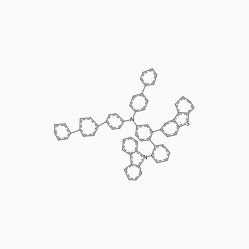 c1ccc(-c2ccc(-c3ccc(N(c4ccc(-c5ccccc5)cc4)c4ccc(-c5ccccc5-n5c6ccccc6c6ccccc65)c(-c5ccc6sc7ccccc7c6c5)c4)cc3)cc2)cc1